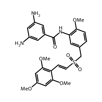 COc1cc(OC)c(/C=C/S(=O)(=O)Cc2ccc(OC)c(NC(=O)c3cc(N)cc(N)c3)c2)c(OC)c1